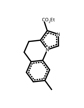 CCOC(=O)c1ncn2c1CCc1ccc(C)cc1-2